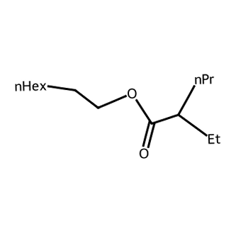 CCCCCCCCOC(=O)C(CC)CCC